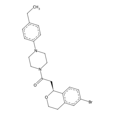 CCc1ccc(N2CCN(C(=O)C[C@@H]3OCCc4cc(Br)ccc43)CC2)cc1